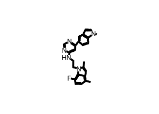 Cc1ccc(F)c2c1cc(C)n2CCNc1cc(-c2ccc3c(ccn3C)c2)ncn1